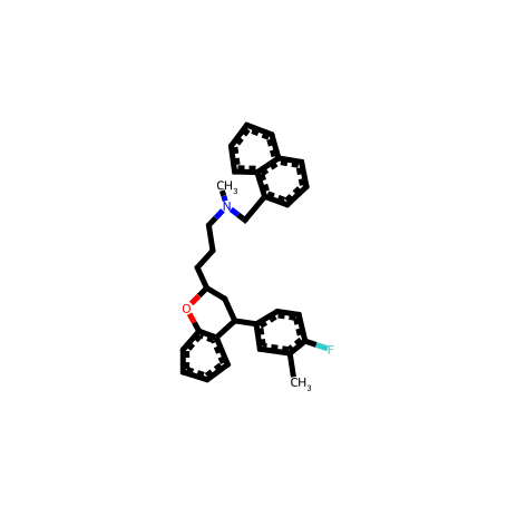 Cc1cc(C2CC(CCCN(C)Cc3cccc4ccccc34)Oc3ccccc32)ccc1F